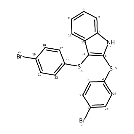 Brc1ccc(Sc2[nH]c3ccccc3c2Sc2ccc(Br)cc2)cc1